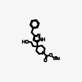 CC(C)(C)OC(=O)N1CCC(CCO)(c2cc(Cc3ccccc3)n[nH]2)CC1